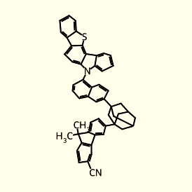 CC1(C)c2ccc(C#N)cc2-c2cc(C34CC5CC(C3)CC(c3ccc6c(-n7c8ccccc8c8c9sc%10ccccc%10c9ccc87)cccc6c3)(C5)C4)ccc21